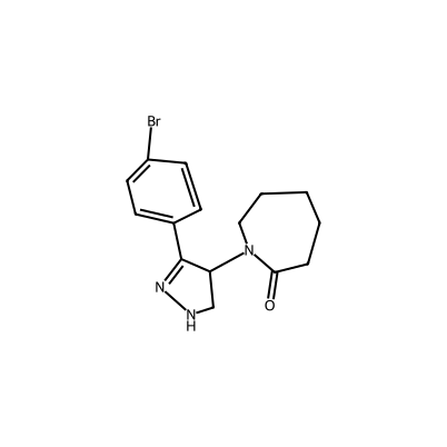 O=C1CCCCCN1C1CNN=C1c1ccc(Br)cc1